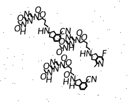 Cc1ncc(F)c2c1CC(NCCCC1CN(c3cnc4c(n3)NC(=O)CO4)C(=O)O1)C2.N#Cc1cccc2c1CC(NCC(O)CC1CN(c3cnc4c(n3)NC(=O)CO4)C(=O)O1)C2.N#Cc1cccc2c1CC(NCCCC1CN(c3cnc4c(n3)NC(=O)CO4)C(=O)O1)C2